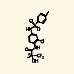 Cc1ccc(S(=O)(=O)Nc2ccc(NC(=O)[C@@](C)(O)C(F)(F)F)c(Cl)c2)cc1